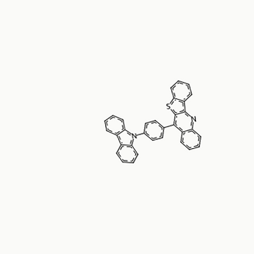 c1ccc2c(-c3ccc(-n4c5ccccc5c5ccccc54)cc3)c3sc4ccccc4c3nc2c1